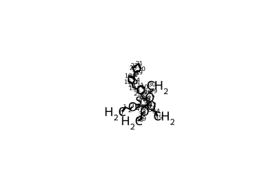 C=CCOC[C@H]1S[C@@H](c2cccc(Cc3ccc(-c4ccccc4)s3)c2)[C@H](OCC=C)[C@@H](OCC=C)[C@@H]1OCC=C